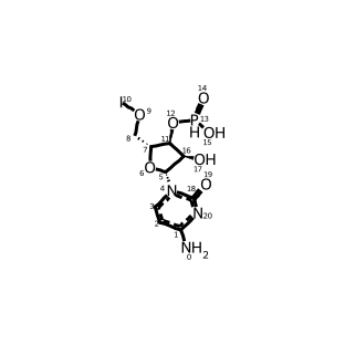 Nc1ccn([C@@H]2O[C@H](COI)[C@@H](O[PH](=O)O)[C@H]2O)c(=O)n1